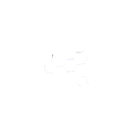 OC[C@@H]1CCCN1c1cc(-n2ccnn2)c2ccc(Cl)c(Cl)c2n1